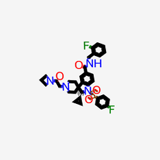 O=C(NCc1ccccc1F)c1ccc2c(c1)C1(CCN(CC(=O)N3CCC3)CC1)[C@@H](C1CC1)N2S(=O)(=O)c1ccc(F)cc1